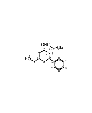 CC(C)(C)OC=O.OCC1CCNC(c2ccccc2)C1